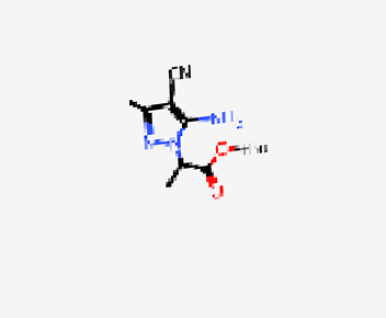 Cc1nn(C(C)C(=O)OC(C)(C)C)c(N)c1C#N